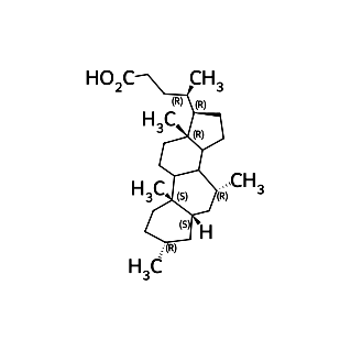 C[C@@H]1CC[C@]2(C)C3CC[C@@]4(C)C(CC[C@@H]4[C@H](C)CCC(=O)O)C3[C@H](C)C[C@@H]2C1